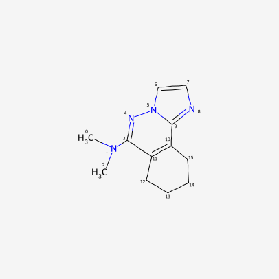 CN(C)c1nn2ccnc2c2c1CCCC2